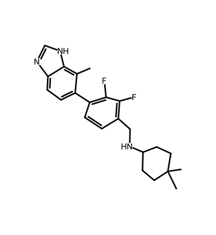 Cc1c(-c2ccc(CNC3CCC(C)(C)CC3)c(F)c2F)ccc2nc[nH]c12